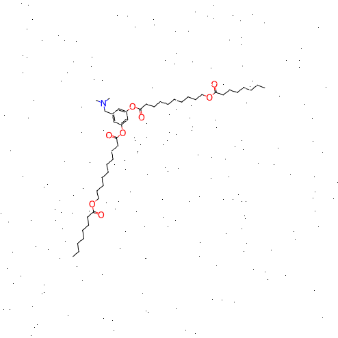 CCCCCCCC(=O)OCCCCCCCCCC(=O)Oc1cc(CN(C)C)cc(OC(=O)CCCCCCCCCOC(=O)CCCCCCC)c1